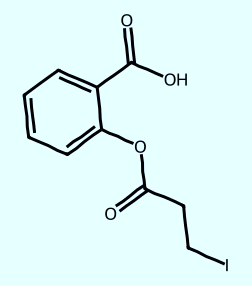 O=C(CCI)Oc1ccccc1C(=O)O